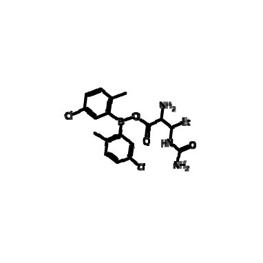 CCC(NC(N)=O)C(N)C(=O)OB(c1cc(Cl)ccc1C)c1cc(Cl)ccc1C